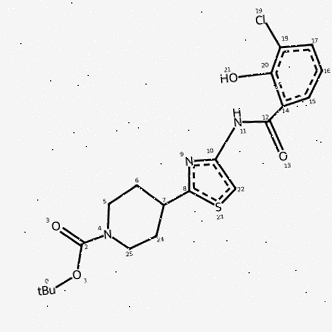 CC(C)(C)OC(=O)N1CCC(c2nc(NC(=O)c3cccc(Cl)c3O)cs2)CC1